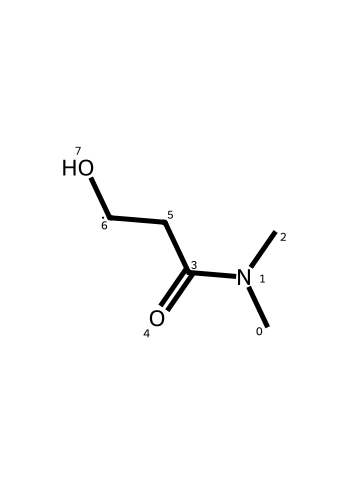 CN(C)C(=O)C[CH]O